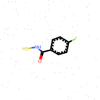 O=C(NS)c1ccc(F)cc1